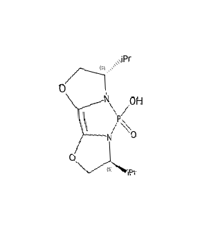 CC(C)[C@H]1COC2=C3OC[C@H](C(C)C)N3P(=O)(O)N21